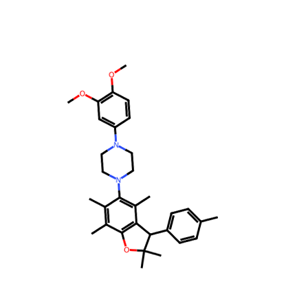 COc1ccc(N2CCN(c3c(C)c(C)c4c(c3C)C(c3ccc(C)cc3)C(C)(C)O4)CC2)cc1OC